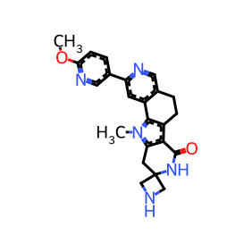 COc1ccc(-c2cc3c(cn2)CCc2c4c(n(C)c2-3)CC2(CNC2)NC4=O)cn1